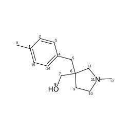 Cc1ccc(CC2(CO)CCN(C)C2)cc1